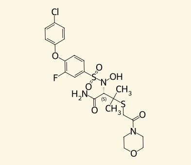 CC(C)(SCC(=O)N1CCOCC1)[C@H](C(N)=O)N(O)S(=O)(=O)c1ccc(Oc2ccc(Cl)cc2)c(F)c1